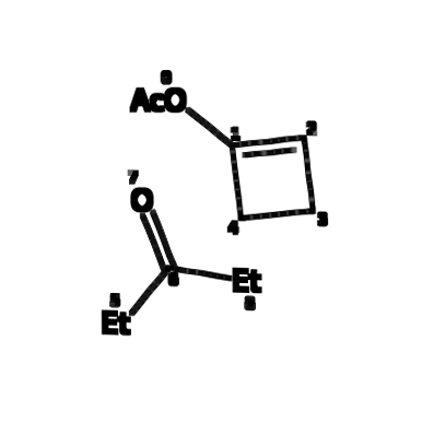 CC(=O)OC1=CCC1.CCC(=O)CC